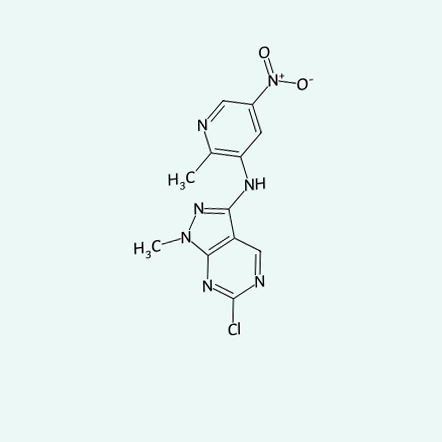 Cc1ncc([N+](=O)[O-])cc1Nc1nn(C)c2nc(Cl)ncc12